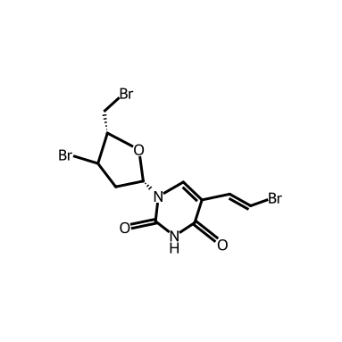 O=c1[nH]c(=O)n([C@@H]2CC(Br)[C@H](CBr)O2)cc1/C=C/Br